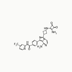 Nc1c(NC2CC(c3nc(-c4ccc(C(=O)Nc5cc(C(F)(F)F)ccn5)cc4)c4c(N)nccn34)C2)c(=O)c1=O